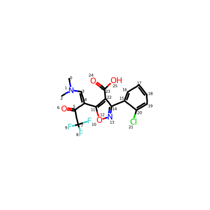 CN(C)/C=C(\C(=O)C(F)(F)F)c1onc(-c2ccccc2Cl)c1C(=O)O